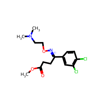 COC(=O)CC/C(=N\OCCN(C)C)c1ccc(Cl)c(Cl)c1